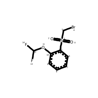 O=S(=O)(CBr)c1ccccc1OC(F)F